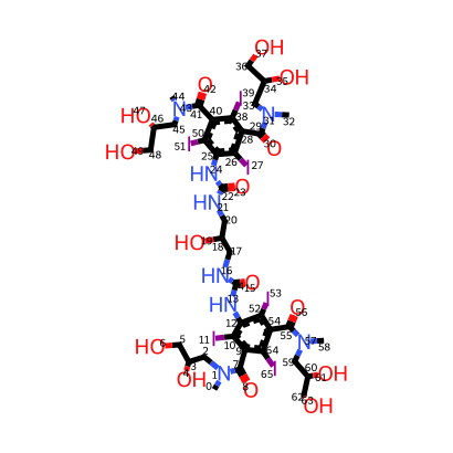 CN(CC(O)CO)C(=O)c1c(I)c(NC(=O)NCC(O)CNC(=O)Nc2c(I)c(C(=O)N(C)CC(O)CO)c(I)c(C(=O)N(C)CC(O)CO)c2I)c(I)c(C(=O)N(C)CC(O)CO)c1I